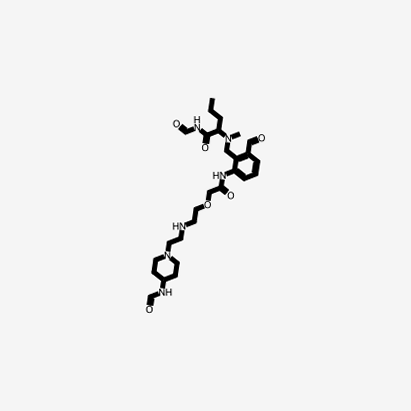 CCCC(C(=O)NC=O)N(C)Cc1c(C=O)cccc1NC(=O)COCCNCCN1CCC(NC=O)CC1